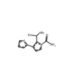 CCCCC(CC)c1c(-c2cccs2)ccn1C(N)=O